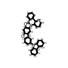 c1ccc2c(c1)B1Oc3cc4oc5ccc(-n6c7ccccc7c7ccccc76)cc5c4cc3N1c1cccnc1-2